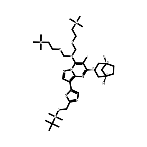 CC(C)(C)[Si](C)(C)OCc1ncc(-c2cnn3c(N(COCC[Si](C)(C)C)COCC[Si](C)(C)C)c(I)c([C@H]4C[C@@H]5CC[C@@H](C5)C4)nc23)s1